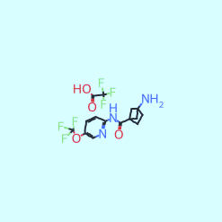 NC12CCC(C(=O)Nc3ccc(OC(F)(F)F)cn3)(C1)C2.O=C(O)C(F)(F)F